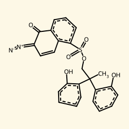 CC(COS(=O)(=O)c1cccc2c1C=CC(=[N+]=[N-])C2=O)(c1ccccc1O)c1ccccc1O